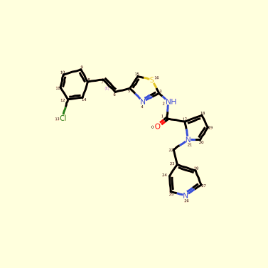 O=C(Nc1nc(/C=C/c2cccc(Cl)c2)cs1)c1cccn1Cc1ccncc1